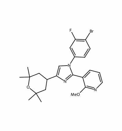 COc1ncccc1-c1nc(C2CC(C)(C)OC(C)(C)C2)cn1-c1ccc(Br)c(F)c1